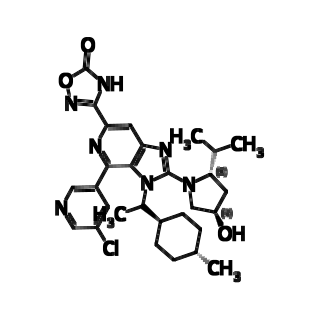 CC(C)[C@@H]1C[C@@H](O)CN1c1nc2cc(-c3noc(=O)[nH]3)nc(-c3cncc(Cl)c3)c2n1C(C)[C@H]1CC[C@H](C)CC1